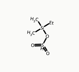 CC[Si](C)(C)O[SH](=O)=O